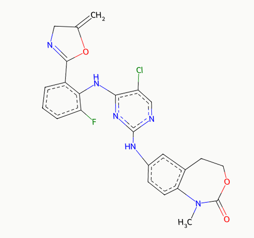 C=C1CN=C(c2cccc(F)c2Nc2nc(Nc3ccc4c(c3)CCOC(=O)N4C)ncc2Cl)O1